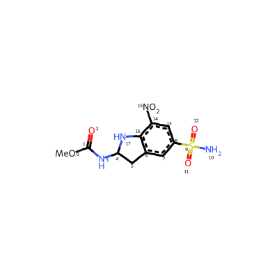 COC(=O)NC1Cc2cc(S(N)(=O)=O)cc([N+](=O)[O-])c2N1